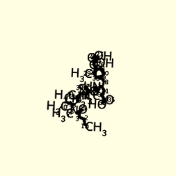 CCCCC(=O)N(C)[C@H](C[C@@H](C)c1nc(ON[C@@H](Cc2ccc(OP(=O)(O)O)c(C)c2)CC(C)C(=O)O)cs1)C(C)C